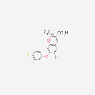 O=C(O)C1=Cc2cc(Cl)c(Oc3ccc(F)c(F)c3)cc2O[C@@H]1C(F)(F)F